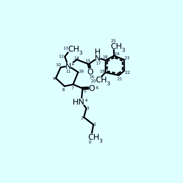 CCCCNC(=O)C1CCC[N+](CC)(CC(=O)Nc2c(C)cccc2C)C1